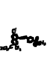 CCOC(=O)C1=Cc2cc(Cl)cc(C#Cc3ccc(S(N)(=O)=O)cc3)c2OC1C(F)(F)F